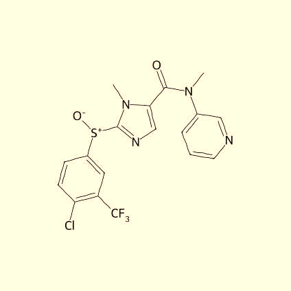 CN(C(=O)c1cnc([S+]([O-])c2ccc(Cl)c(C(F)(F)F)c2)n1C)c1cccnc1